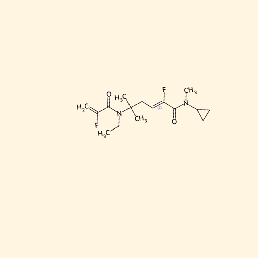 C=C(F)C(=O)N(CC)C(C)(C)C/C=C(\F)C(=O)N(C)C1CC1